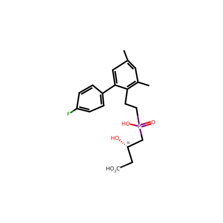 Cc1cc(C)c(CCP(=O)(O)C[C@@H](O)CC(=O)O)c(-c2ccc(F)cc2)c1